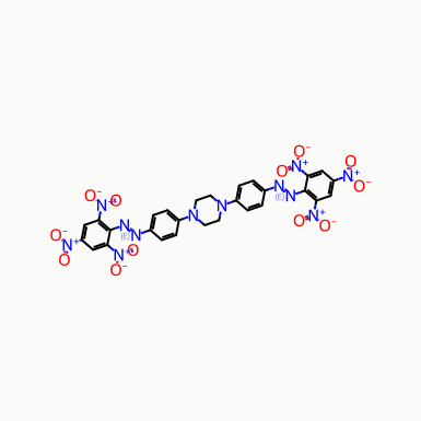 O=[N+]([O-])c1cc([N+](=O)[O-])c(/N=N/c2ccc(N3CCN(c4ccc(/N=N/c5c([N+](=O)[O-])cc([N+](=O)[O-])cc5[N+](=O)[O-])cc4)CC3)cc2)c([N+](=O)[O-])c1